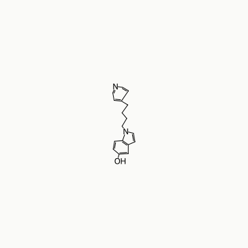 Oc1ccc2c(ccn2CCCCc2ccncc2)c1